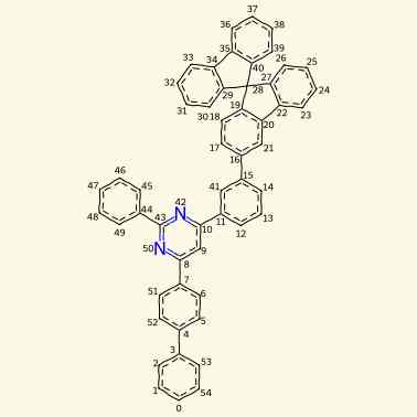 c1ccc(-c2ccc(-c3cc(-c4cccc(-c5ccc6c(c5)-c5ccccc5C65c6ccccc6-c6ccccc65)c4)nc(-c4ccccc4)n3)cc2)cc1